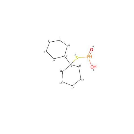 O=[PH](O)SC1(C2CCCCC2)CCCCC1